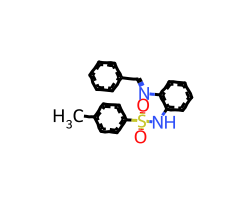 Cc1ccc(S(=O)(=O)Nc2ccccc2/N=C/c2ccccc2)cc1